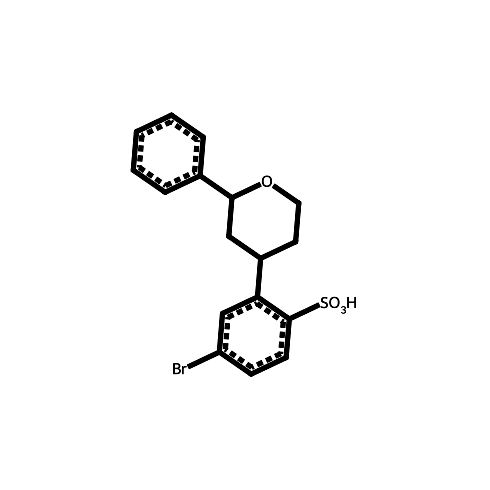 O=S(=O)(O)c1ccc(Br)cc1C1CCOC(c2ccccc2)C1